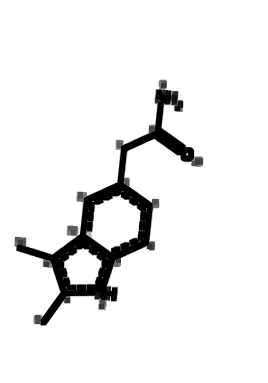 Cc1[nH]c2ccc(CC(N)=O)cc2c1C